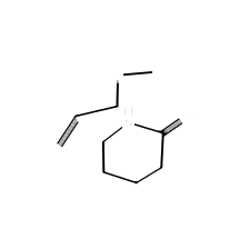 C=CCSCl.O=C1CCCCN1